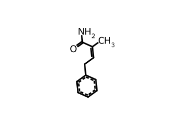 CC(=CCc1ccccc1)C(N)=O